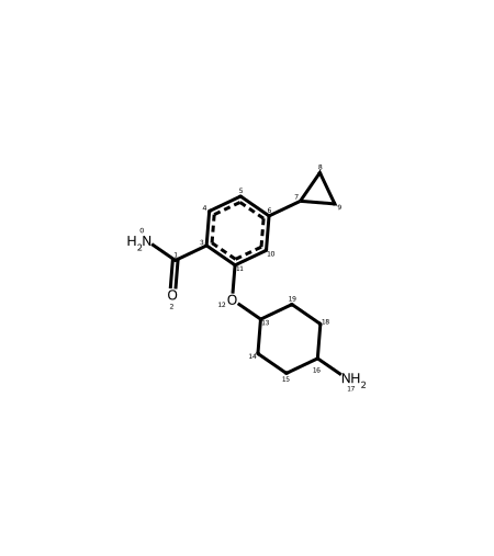 NC(=O)c1ccc(C2CC2)cc1OC1CCC(N)CC1